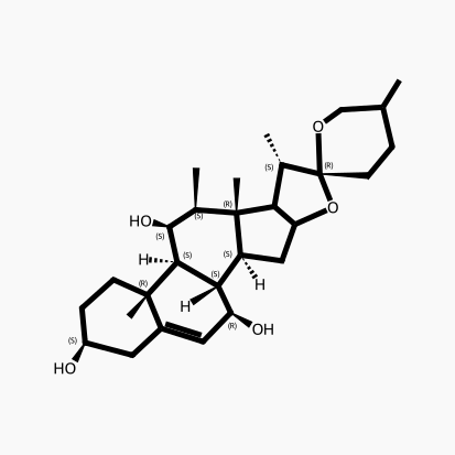 CC1CC[C@@]2(OC1)OC1C[C@H]3[C@H]4[C@H]([C@@H](O)[C@@H](C)[C@]3(C)C1[C@@H]2C)[C@@]1(C)CC[C@H](O)CC1=C[C@@H]4O